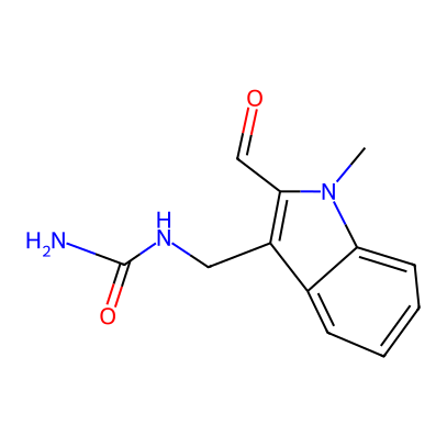 Cn1c(C=O)c(CNC(N)=O)c2ccccc21